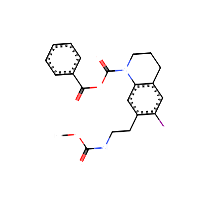 CC(C)(C)OC(=O)NCCc1cc2c(cc1I)CCCN2C(=O)OC(=O)c1ccccc1